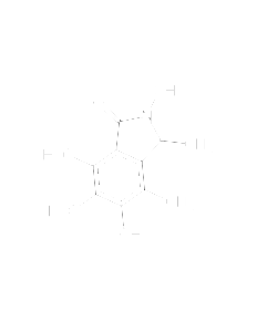 Cc1c(C)c(C)c2c(c1C)C(=O)N(C)C2C